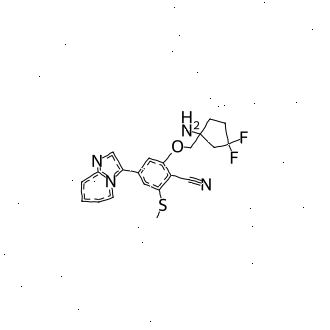 CSc1cc(-c2cnc3ccccn23)cc(OCC2(N)CCC(F)(F)C2)c1C#N